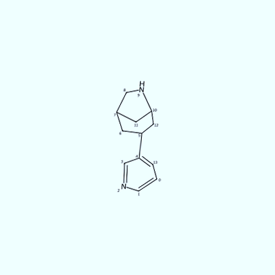 c1cncc(C2CC3CNC(C3)C2)c1